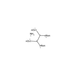 CCCCCCCCCC(CCCCCCCC)C(CCCCCCCC)CCCCCCCCC.N